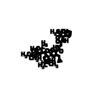 CC(C)[C@H](NC(=O)OC(C)(C)C)C(=O)C1C[C@H]2[C@@H]([C@H]1C(=O)NC(CC1CC1)C(=O)C(=O)NCC(=O)N[C@H](C(=O)N(C)C)c1ccccc1)C2(C)C